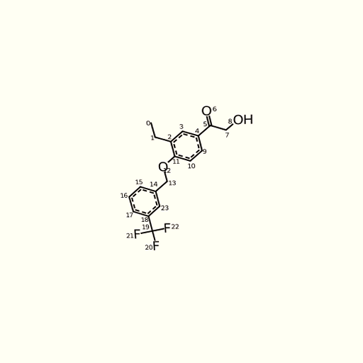 CCc1cc(C(=O)CO)ccc1OCc1cccc(C(F)(F)F)c1